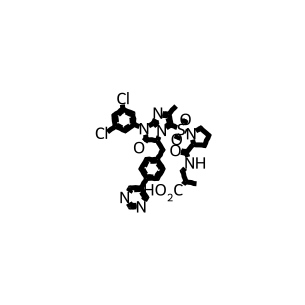 Cc1nc2n(c1S(=O)(=O)N1CCCC1C(=O)NCC(C)C(=O)O)C(Cc1ccc(-c3cncnc3)cc1)C(=O)N2c1cc(Cl)cc(Cl)c1